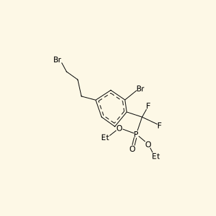 CCOP(=O)(OCC)C(F)(F)c1ccc(CCCBr)cc1Br